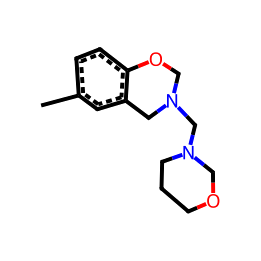 Cc1ccc2c(c1)CN(CN1CCCOC1)CO2